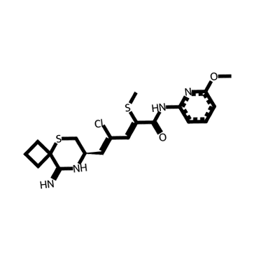 COc1cccc(NC(=O)/C(=C/C(Cl)=C/[C@@H]2CSC3(CCC3)C(=N)N2)SC)n1